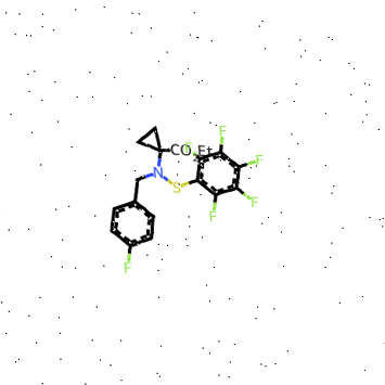 CCOC(=O)C1(N(Cc2ccc(F)cc2)Sc2c(F)c(F)c(F)c(F)c2F)CC1